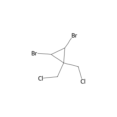 ClCC1(CCl)C(Br)C1Br